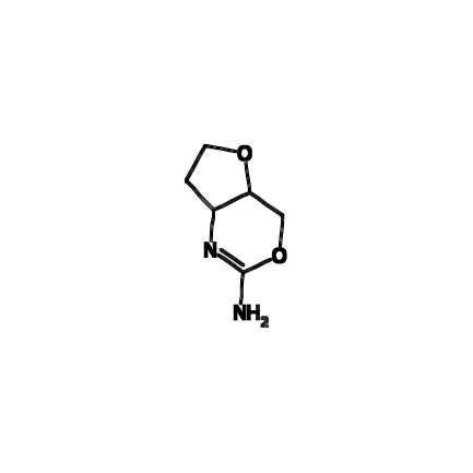 NC1=NC2CCOC2CO1